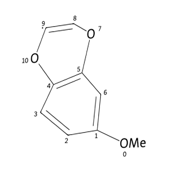 COc1ccc2c(c1)OC=[C]O2